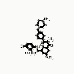 Cc1cc([C@@H](C)Nc2ccc(Cl)nc2C(=O)O)c2oc(-c3ccc(CN4CCN(C)CC4)cc3)c(C)c(=O)c2c1